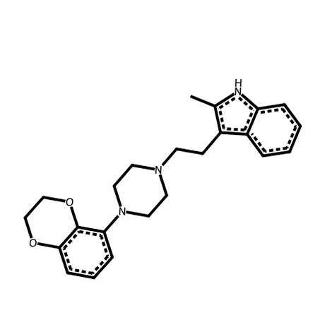 Cc1[nH]c2ccccc2c1CCN1CCN(c2cccc3c2OCCO3)CC1